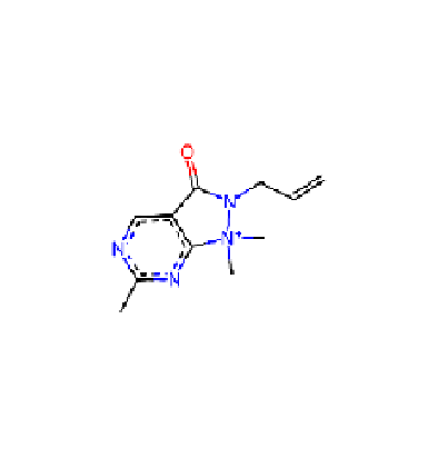 C=CCN1C(=O)c2cnc(C)nc2[N+]1(C)C